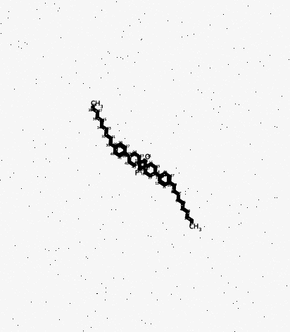 CCCCCCCCCCc1ccc(C2CCC3(CC2)C(=O)C2(CCC(c4ccc(CCCCCCCCCC)cc4)CC2)C3F)cc1